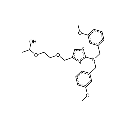 COc1cccc(CN(Cc2cccc(OC)c2)c2nc(COCCOC(C)O)cs2)c1